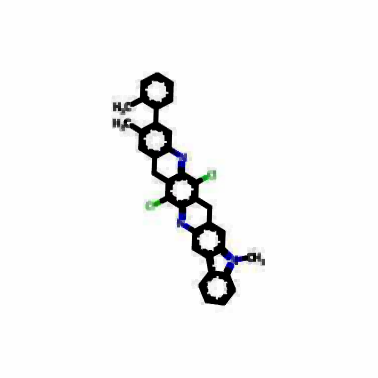 Cc1ccccc1-c1cc2c(cc1C)Cc1c(Cl)c3c(c(Cl)c1=N2)Cc1cc2c(cc1N=3)c1ccccc1n2C